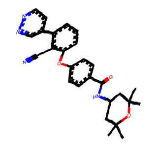 CC1(C)CC(NC(=O)c2ccc(Oc3cccc(-c4ccnnc4)c3C#N)cc2)CC(C)(C)O1